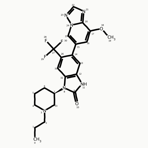 CCCN1CCC[C@@H](n2c(=O)[nH]c3cc(-c4cc(OC)c5ncnn5c4)c(C(F)(F)F)cc32)C1